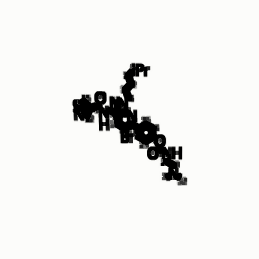 CC(C)CCCCn1nc(NC(=O)c2cnsc2)c2cc(Br)c(-c3ccc(OC(=O)NCCN(C)C)cc3)nc21